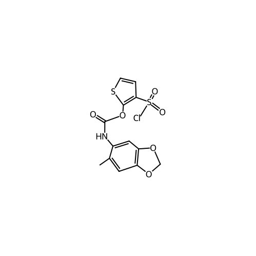 Cc1cc2c(cc1NC(=O)Oc1sccc1S(=O)(=O)Cl)OCO2